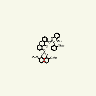 COc1ccccc1OP(Oc1ccccc1OC)Oc1cccc2c1C(=O)c1c(cccc1OP(Oc1ccccc1OC)Oc1ccccc1OC)C2